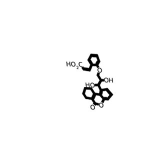 O=C(O)/C=C\c1ccccc1OCC(O)C(O)c1cccc2oc(=O)c3c(c12)CCCC3